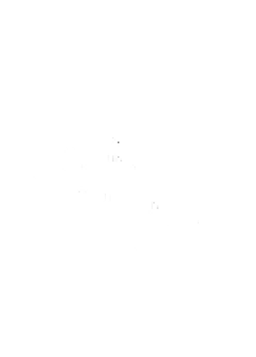 COc1ccc(/C=N\NC(=O)CCn2cc(C)c3ccccc32)cc1OC